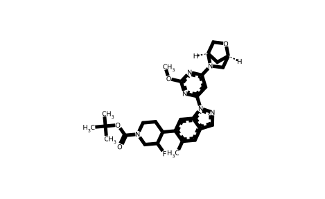 COc1nc(N2C[C@H]3C[C@@H]2CO3)cc(-n2ncc3cc(C)c(C4CCN(C(=O)OC(C)(C)C)CC4F)cc32)n1